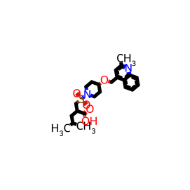 Cc1cc(COC2CCN(S(=O)(=O)CC(CC(C)C)C(=O)O)CC2)c2ccccc2n1